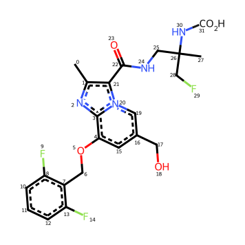 Cc1nc2c(OCc3c(F)cccc3F)cc(CO)cn2c1C(=O)NCC(C)(CF)NC(=O)O